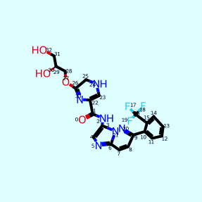 O=C(Nc1cnc2ccc(-c3ccccc3C(F)(F)F)nn12)C1=CNCC(OC[C@@H](O)CO)=N1